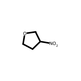 O=[N+]([O-])C1[CH]OCC1